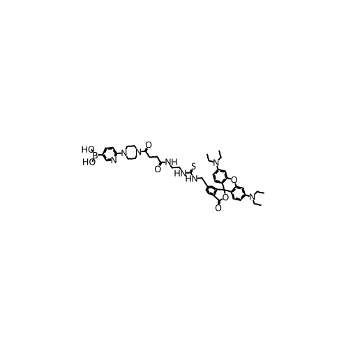 CCN(CC)c1ccc2c(c1)Oc1cc(N(CC)CC)ccc1C21OC(=O)c2ccc(CNC(=S)NCCNC(=O)CCC(=O)N3CCN(c4ccc(B(O)O)cn4)CC3)cc21